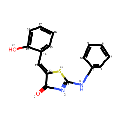 O=C1N=C(Nc2ccccc2)S/C1=C\c1ccccc1O